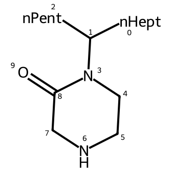 CCCCCCCC(CCCCC)N1CCNCC1=O